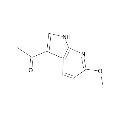 COc1ccc2c(C(C)=O)c[nH]c2n1